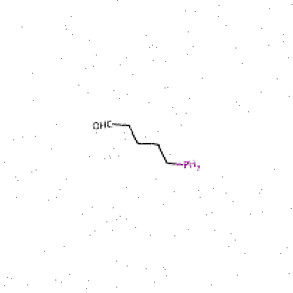 O=CCCCCP